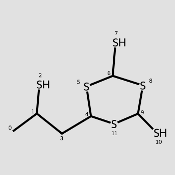 CC(S)CC1SC(S)SC(S)S1